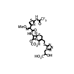 CON=C(C(=O)NC1C(=O)N2C(C(=O)O)=C(CSc3nnnn3CC(O)C(=O)O)CS[C@@H]12)c1csc(NC(=O)C(F)(F)F)n1